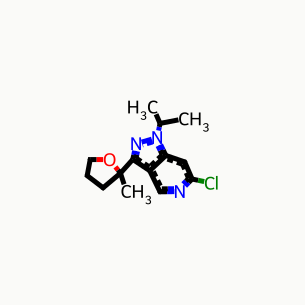 CC(C)n1nc(C2(C)CCCO2)c2cnc(Cl)cc21